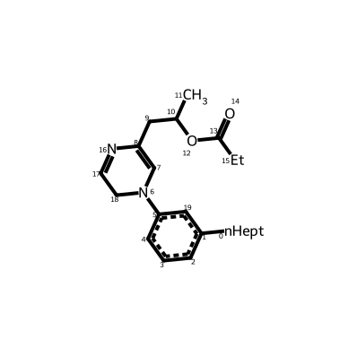 CCCCCCCc1cccc(N2C=C(CC(C)OC(=O)CC)N=CC2)c1